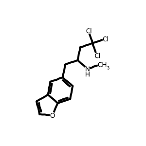 CNC(Cc1ccc2occc2c1)CC(Cl)(Cl)Cl